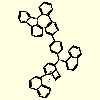 C1=C[C@H]2C(c3cccc4ccccc34)=CC=C(N(c3ccc(-c4ccc(-c5ccccc5-n5c6ccccc6c6ccccc65)cc4)cc3)c3cccc4ccccc34)C12